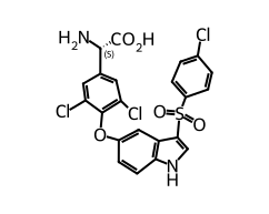 N[C@H](C(=O)O)c1cc(Cl)c(Oc2ccc3[nH]cc(S(=O)(=O)c4ccc(Cl)cc4)c3c2)c(Cl)c1